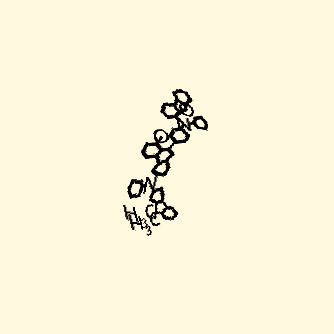 CC1(C)c2ccccc2-c2ccc(N(c3ccccc3)c3ccc4cc5c6c(cccc6c4c3)Oc3cc(N(c4ccccc4)c4cccc6c4oc4ccccc46)ccc3-5)cc21